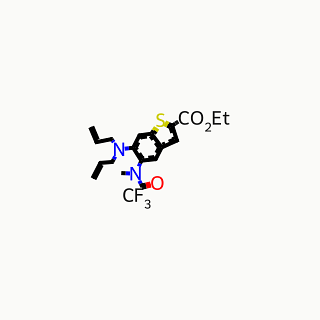 C=CCN(CC=C)c1cc2sc(C(=O)OCC)cc2cc1N(C)C(=O)C(F)(F)F